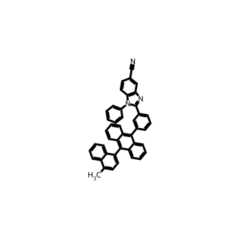 Cc1ccc(-c2c3ccccc3c(-c3cccc(-c4nc5cc(C#N)ccc5n4-c4ccccc4)c3)c3ccccc23)c2ccccc12